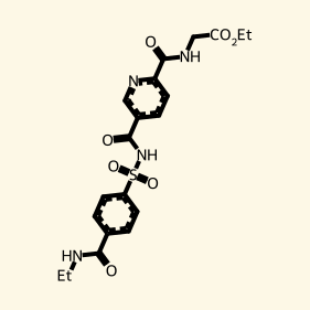 CCNC(=O)c1ccc(S(=O)(=O)NC(=O)c2ccc(C(=O)NCC(=O)OCC)nc2)cc1